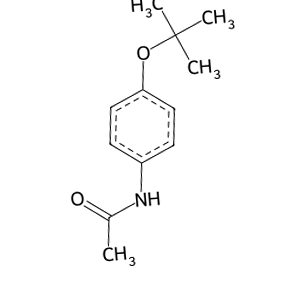 CC(=O)Nc1ccc(OC(C)(C)C)cc1